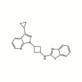 c1ccc2sc(NC3CC(n4nc(C5CC5)c5cccnc54)C3)nc2c1